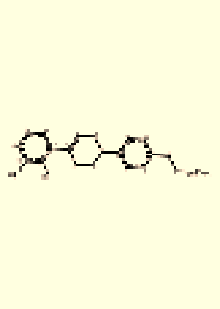 CCCCCCCCCCCCc1ccc(C2CC=C(c3cccc(F)c3F)CC2)cc1